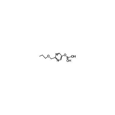 CCCOCc1ncc(OB(O)O)cn1